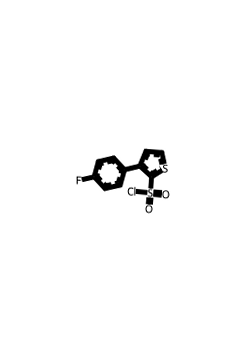 O=S(=O)(Cl)c1sccc1-c1ccc(F)cc1